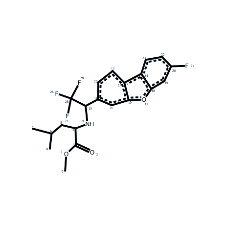 COC(=O)C(CC(C)C)NC(c1ccc2c(c1)oc1cc(F)ccc12)C(F)(F)F